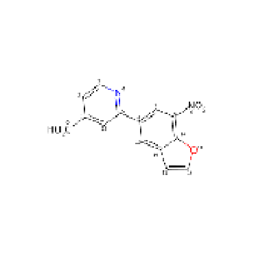 O=C(O)c1ccnc(-c2cc([N+](=O)[O-])c3occc3c2)c1